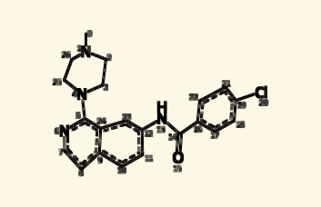 CN1CCN(c2nccc3ccc(NC(=O)c4ccc(Cl)cc4)cc23)CC1